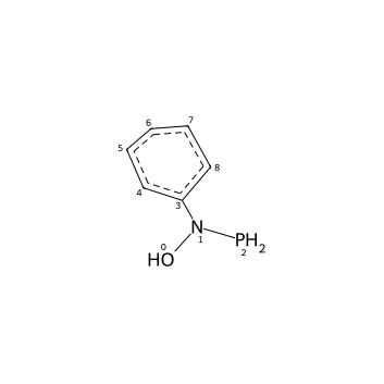 ON(P)c1ccccc1